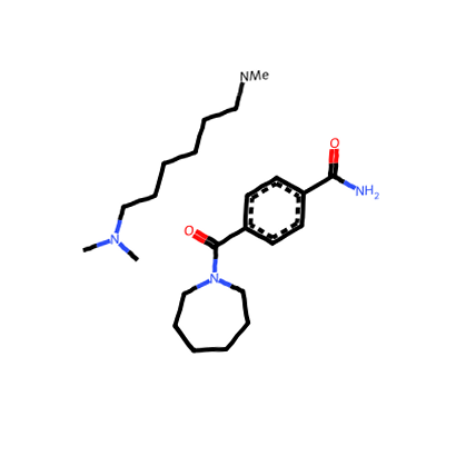 CNCCCCCCN(C)C.NC(=O)c1ccc(C(=O)N2CCCCCC2)cc1